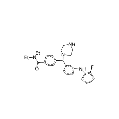 CCN(CC)C(=O)c1ccc([C@H](c2cccc(Nc3ccccc3F)c2)N2CCNCC2)cc1